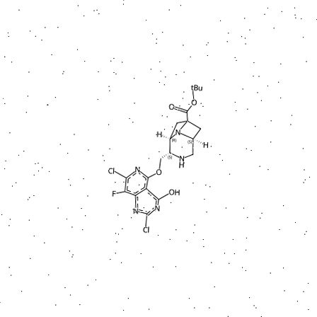 CC(C)(C)OC(=O)C12C[C@H]3CN[C@H](COc4nc(Cl)c(F)c5nc(Cl)nc(O)c45)[C@@H](C1)N32